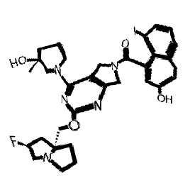 C[C@@]1(O)CCCN(c2nc(OC[C@]34CCCN3C[C@@H](F)C4)nc3c2CN(C(=O)c2cc(O)cc4cccc(I)c24)C3)C1